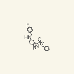 CN(Cc1ccccc1)C(=O)c1nn(C)c2c1CC(NCc1ccc(F)cc1)CC2